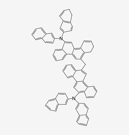 C1=Cc2cc(N(c3ccc4ccccc4c3)c3cc4c5c(c(Cc6cc7c8ccccc8c(N(c8ccc9ccccc9c8)c8ccc9ccccc9c8)cc7c7ccccc67)cc4c4ccccc34)CCC=C5)ccc2CC1